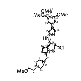 COCCN1CCN(Cc2ccc3c(Nc4cn(-c5cc(OC)c(OC)c(OC)c5)cn4)nc(Cl)nn23)CC1